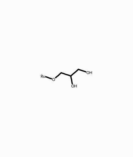 OCC(O)C[O][Ru]